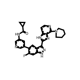 O=C(Nc1cncc(-c2cc3c(-c4nc5c(N6CCCCC6)nccc5[nH]4)n[nH]c3cc2F)c1)C1CC1